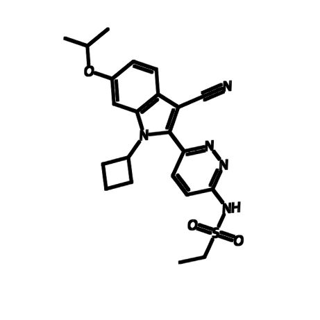 CCS(=O)(=O)Nc1ccc(-c2c(C#N)c3ccc(OC(C)C)cc3n2C2CCC2)nn1